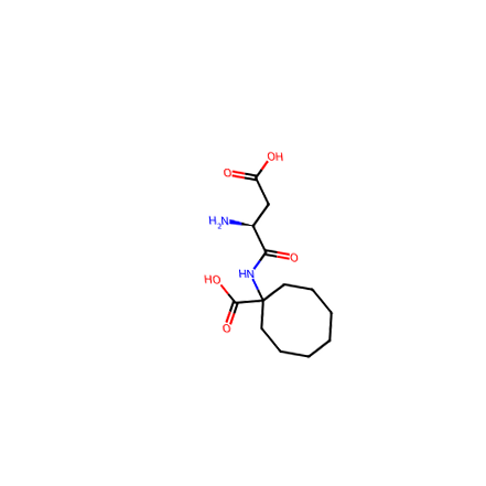 N[C@@H](CC(=O)O)C(=O)NC1(C(=O)O)CCCCCCC1